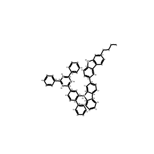 CCCCc1ccc2c(c1)oc1ccc(-c3ccc4c5ccccc5n(-c5cc(-c6nc(-c7ccccc7)nc(-c7ccccc7)n6)ccc5-c5ccccc5)c4c3)cc12